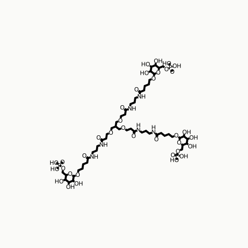 O=C(CCCCOC1OC(COP(=O)(O)O)C(O)C(O)C1O)NCCCNC(=O)CCOCC(COCCC(=O)NCCCNC(=O)CCCCOC1OC(COP(=O)(O)O)C(O)C(O)C1O)COCCC(=O)NCCCNC(=O)CCCCOC1OC(COP(=O)(O)O)C(O)C(O)C1O